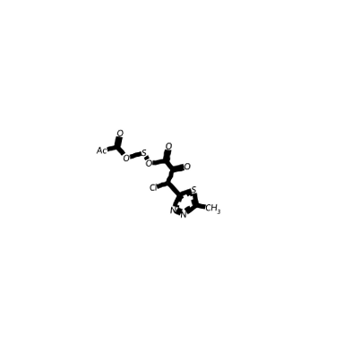 CC(=O)C(=O)OSOC(=O)C(=O)C(Cl)c1nnc(C)s1